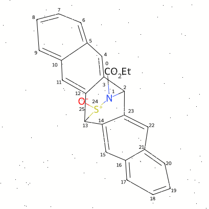 CCOC(=O)N1C2c3cc4ccccc4cc3C(c3cc4ccccc4cc32)[S+]1[O-]